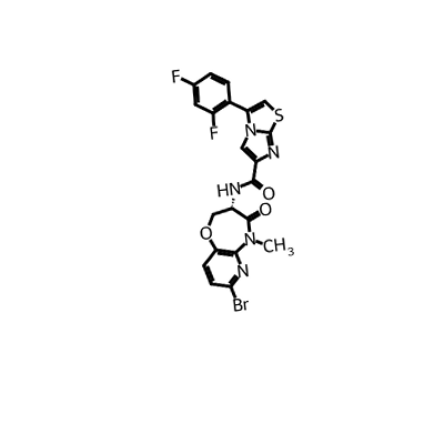 CN1C(=O)[C@@H](NC(=O)c2cn3c(-c4ccc(F)cc4F)csc3n2)COc2ccc(Br)nc21